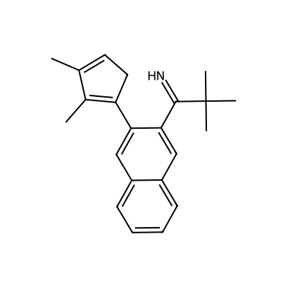 CC1=CCC(c2cc3ccccc3cc2C(=N)C(C)(C)C)=C1C